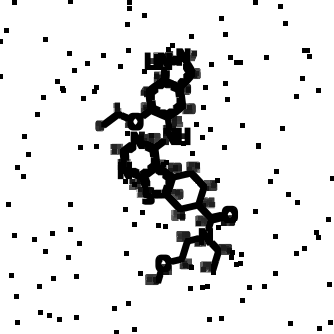 CCOc1cc2[nH]ncc2cc1Nc1ncnc2sc3c(c12)CCC(C(=O)N(CC)CCOC)C3